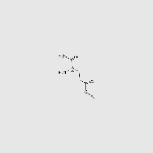 COC(=O)CC[C@H](N)C(N)=O